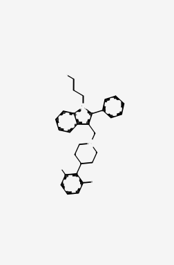 Cc1cccc(C)c1C1CCN(Cc2c(-c3ccccc3)n(CCCO)c3ccccc23)CC1.Cl